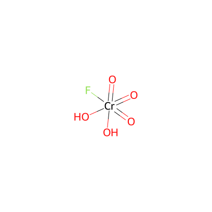 [O]=[Cr](=[O])(=[O])([OH])([OH])[F]